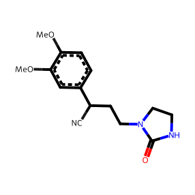 COc1ccc(C(C#N)CCN2CCNC2=O)cc1OC